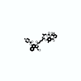 CSC(C)COC(=O)N1c2cc(OCCCCCC(=O)N3C[C@@H](CCl)c4c3cc(OC(=O)N3CCN(C)CC3)c3ccccc43)c(C)cc2C(=O)N2CCC[C@H]2C1O